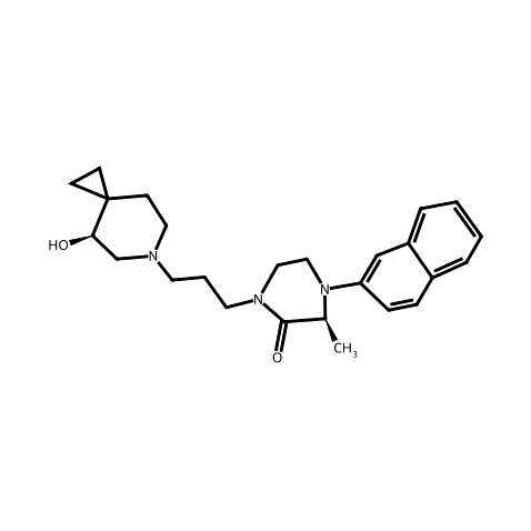 C[C@H]1C(=O)N(CCCN2CCC3(CC3)[C@H](O)C2)CCN1c1ccc2ccccc2c1